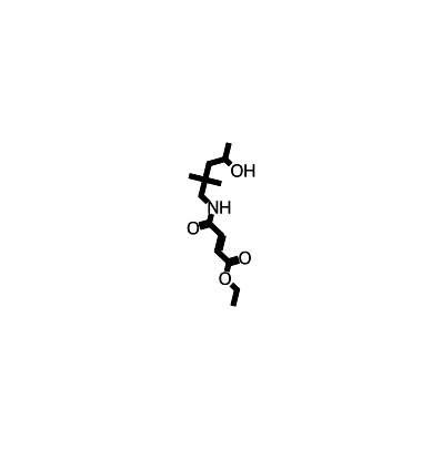 CCOC(=O)/C=C/C(=O)NCC(C)(C)CC(C)O